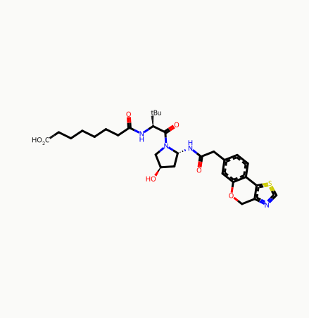 CC(C)(C)[C@H](NC(=O)CCCCCCC(=O)O)C(=O)N1C[C@H](O)C[C@H]1NC(=O)Cc1ccc2c(c1)OCc1ncsc1-2